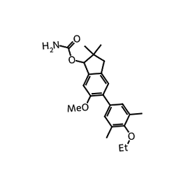 CCOc1c(C)cc(-c2cc3c(cc2OC)C(OC(N)=O)C(C)(C)C3)cc1C